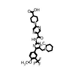 COc1ccc(-c2nc(NC(=O)c3cnc(N4CCC(C(=O)O)CC4)cn3)sc2CN2CCCC[C@H]2C)cc1C(F)(F)F